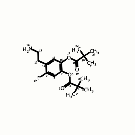 CC(C)(C)C(=O)Oc1cc(F)c(CCN)cc1OC(=O)C(C)(C)C